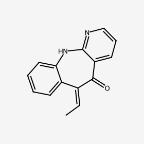 C/C=C1/C(=O)c2cccnc2Nc2ccccc21